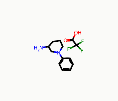 NC1CCCN(c2ccccc2)C1.O=C(O)C(F)(F)F